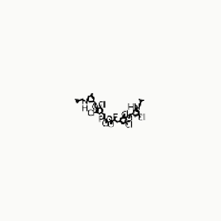 Cc1cc(COc2c(Cl)cc(CC(F)C(=O)OC(=O)C(F)Cc3cc(Cl)c(OCc4cc(Cl)cc(NCC5CC5)c4)c(Cl)c3)cc2Cl)cc(NCC2CC2)c1